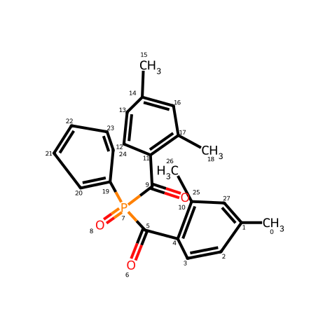 Cc1ccc(C(=O)P(=O)(C(=O)c2ccc(C)cc2C)c2ccccc2)c(C)c1